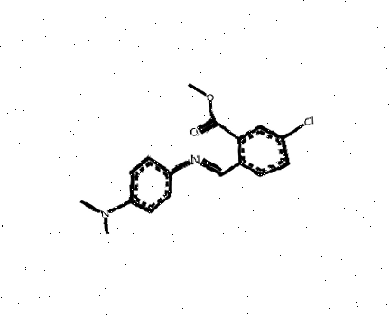 COC(=O)c1cc(Cl)ccc1C=Nc1ccc(N(C)C)cc1